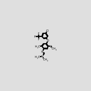 COc1cc(/N=C/N(C)C)c(C)cc1Oc1cc(Cl)cc(C(F)(F)F)c1